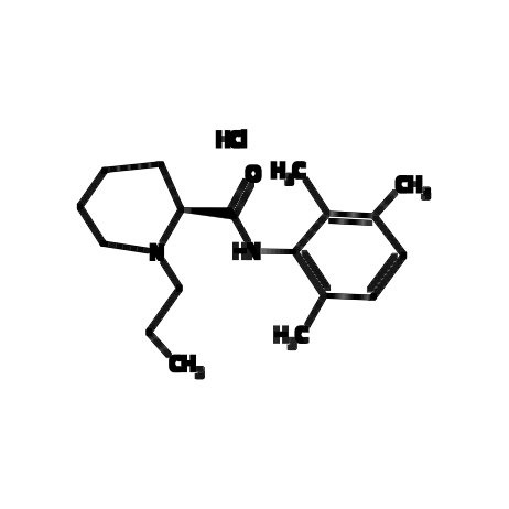 CCCN1CCCC[C@H]1C(=O)Nc1c(C)ccc(C)c1C.Cl